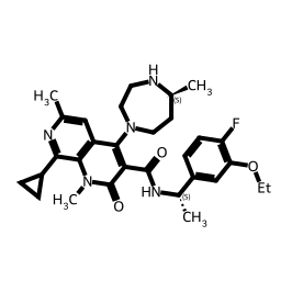 CCOc1cc([C@H](C)NC(=O)c2c(N3CCN[C@@H](C)CC3)c3cc(C)nc(C4CC4)c3n(C)c2=O)ccc1F